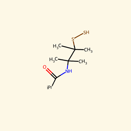 CC(C)C(=O)NC(C)(C)C(C)(C)SS